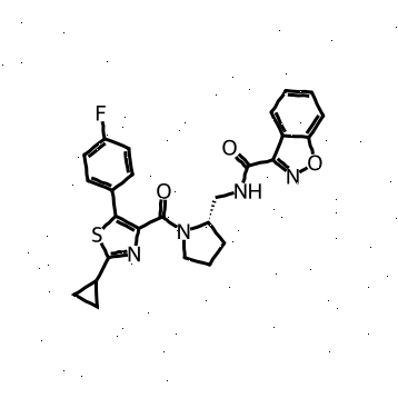 O=C(NC[C@@H]1CCCN1C(=O)c1nc(C2CC2)sc1-c1ccc(F)cc1)c1noc2ccccc12